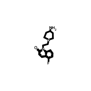 NC1CCN(CCn2c(=O)ccc3c(F)cccc32)CC1